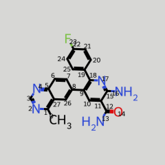 Cc1ncnc2ccc(-c3cc(C(N)=O)c(N)nc3-c3ccc(F)cc3)cc12